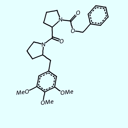 COc1cc(CC2CCCN2C(=O)C2CCCN2C(=O)OCc2ccccc2)cc(OC)c1OC